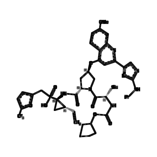 C=C[C@@H]1C[C@]1(NC(=O)[C@@H]1C[C@@H](Oc2cc(-c3csc(NC(C)C)n3)nc3cc(OC)ccc23)CN1C(=O)[C@@H](NC(=O)OC1CCCC1)C(C)(C)C)P(=O)(O)Cc1ccc(C(F)(F)F)o1